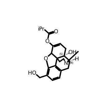 CC(C)C(=O)OC1=CC[C@@]2(O)[C@H]3Cc4ccc(CO)c5c4C2(CCN3C)C1O5